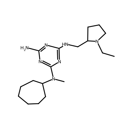 CCN1CCCC1CNc1nc(N)nc(N(C)C2CCCCCC2)n1